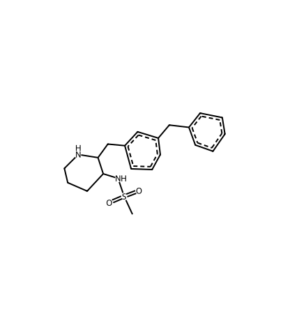 CS(=O)(=O)NC1CCCNC1Cc1cccc(Cc2ccccc2)c1